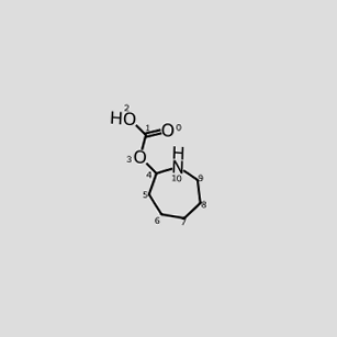 O=C(O)OC1CCCCCN1